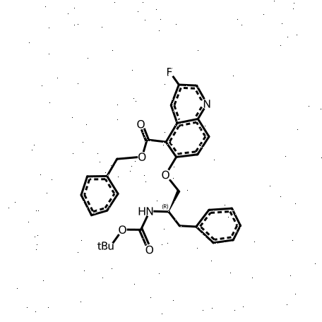 CC(C)(C)OC(=O)N[C@@H](COc1ccc2ncc(F)cc2c1C(=O)OCc1ccccc1)Cc1ccccc1